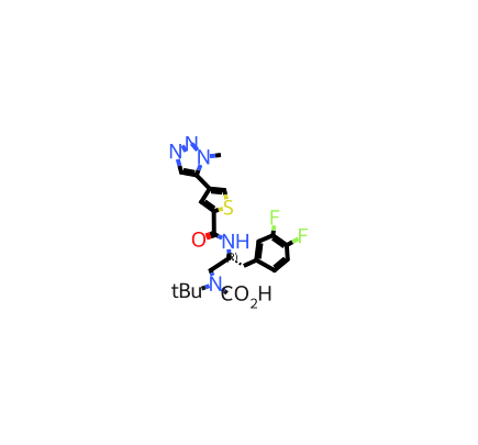 Cn1nncc1-c1csc(C(=O)N[C@H](Cc2ccc(F)c(F)c2)CN(C(=O)O)C(C)(C)C)c1